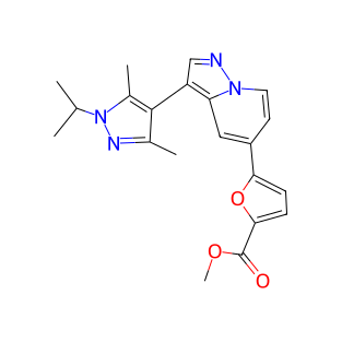 COC(=O)c1ccc(-c2ccn3ncc(-c4c(C)nn(C(C)C)c4C)c3c2)o1